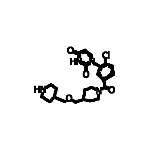 O=C(c1ccc(Cl)c(-n2ccc(=O)[nH]c2=O)c1)N1CCC(COCC2CCNCC2)CC1